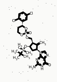 C=C1[C@H](CO[P@]2(=O)OCC[C@H](c3cc(Cl)ccc3Cl)O2)[C@@H](O[Si](C)(C)C(C)(C)C)C[C@@H]1n1cnc2c(=O)[nH]c(N)nc21